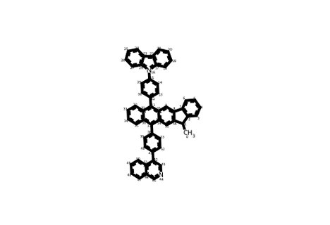 CC1c2ccccc2-c2cc3c(-c4ccc(-n5c6ccccc6c6ccccc65)cc4)c4ccccc4c(-c4ccc(-c5cncc6ccccc56)cc4)c3cc21